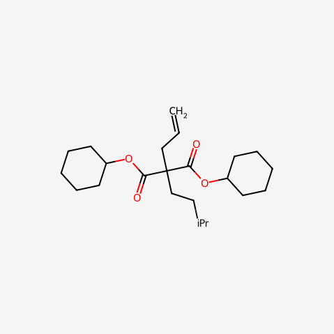 C=CCC(CCC(C)C)(C(=O)OC1CCCCC1)C(=O)OC1CCCCC1